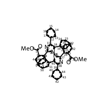 COC(=O)c1ccccc1-c1nc(-c2ccccc2)c(-c2ccccc2)n1-n1c(-c2ccccc2C(=O)OC)nc(-c2ccccc2)c1-c1ccccc1